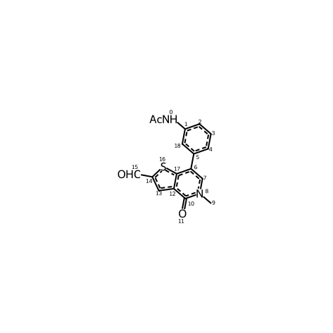 CC(=O)Nc1cccc(-c2cn(C)c(=O)c3cc(C=O)sc23)c1